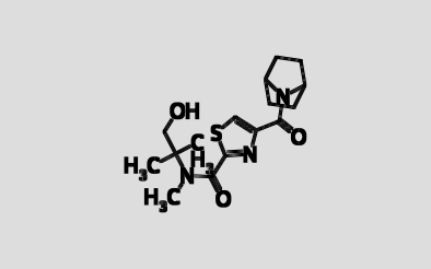 CN(C(=O)c1nc(C(=O)N2C3CCC2CC3)cs1)C(C)(C)CO